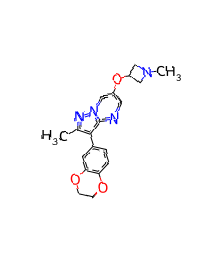 Cc1nn2cc(OC3CN(C)C3)cnc2c1-c1ccc2c(c1)OCCO2